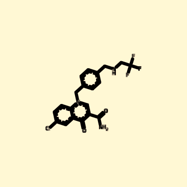 NC(=O)c1cn(Cc2ccc(CNCC(F)(F)F)cc2)c2ccc(Cl)cc2c1=O